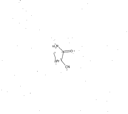 CCCC.N#CCC(N)=O